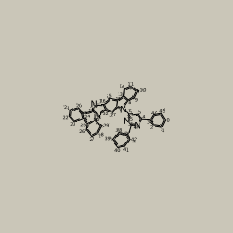 c1ccc(-c2cc(-n3c4ccccc4c4cc5nc6c7ccccc7c7ccccc7n6c5cc43)nc(-c3ccccc3)n2)cc1